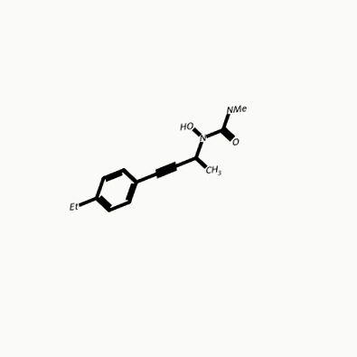 CCc1ccc(C#CC(C)N(O)C(=O)NC)cc1